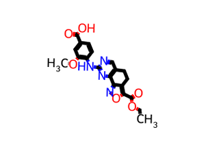 CCOC(=O)c1onc2c1CCc1cnc(Nc3ccc(C(=O)O)cc3OC)nc1-2